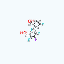 OCc1ccc(F)c(I)c1F.OCc1ccc(F)cc1F